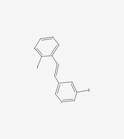 Ic1cccc(/C=C/c2ccccc2I)c1